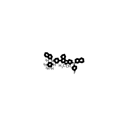 [2H]c1c([2H])c([2H])c(N(c2ccc(-c3cc4c(c5ccccc35)-c3ccc(N(c5ccc(F)cc5)c5ccc6ccccc6c5)cc3C4(C)C)cc2)c2ccc3ccccc3c2)c([2H])c1[2H]